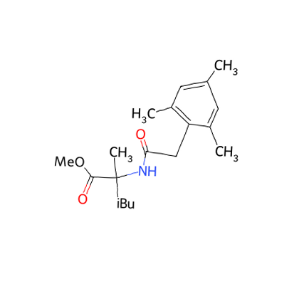 CCC(C)C(C)(NC(=O)Cc1c(C)cc(C)cc1C)C(=O)OC